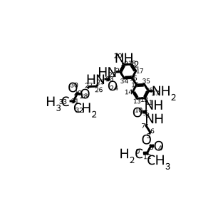 C=C(C)C(=O)OCCNC(=O)Nc1ccc(-c2ccc(N)c(NC(=O)NCCOC(=O)C(=C)C)c2)cc1N